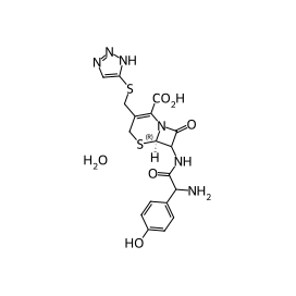 NC(C(=O)NC1C(=O)N2C(C(=O)O)=C(CSc3cnn[nH]3)CS[C@H]12)c1ccc(O)cc1.O